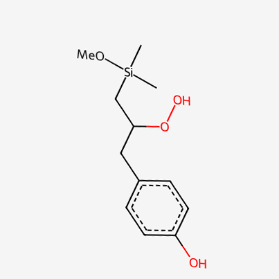 CO[Si](C)(C)CC(Cc1ccc(O)cc1)OO